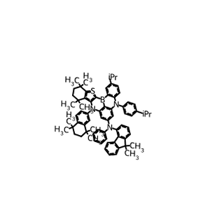 CC(C)c1ccc(N2c3ccc(C(C)C)cc3B3c4sc5c(c4N(c4ccc6c(c4)C(C)(C)CCC6(C)C)c4cc(N(c6ccccc6)c6cccc7c6-c6ccccc6C7(C)C)cc2c43)C(C)(C)CCC5(C)C)cc1